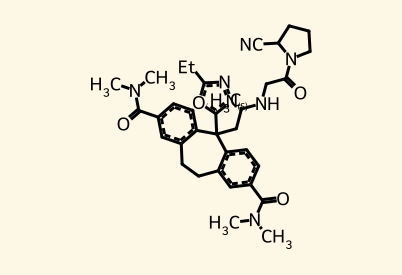 CCc1nnc(C2(C[C@H](C)NCC(=O)N3CCCC3C#N)c3ccc(C(=O)N(C)C)cc3CCc3cc(C(=O)N(C)C)ccc32)o1